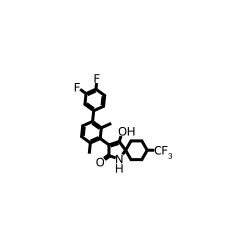 Cc1ccc(-c2ccc(F)c(F)c2)c(C)c1C1=C(O)C2(CCC(C(F)(F)F)CC2)NC1=O